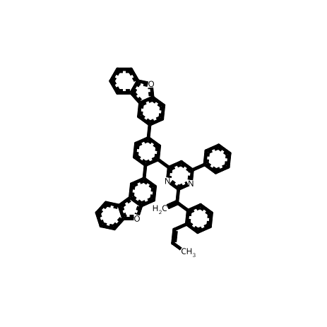 C=C(c1nc(-c2ccccc2)cc(-c2cc(-c3ccc4oc5ccccc5c4c3)ccc2-c2ccc3oc4ccccc4c3c2)n1)c1ccccc1/C=C\C